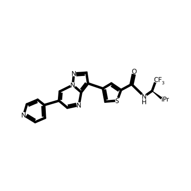 CC(C)[C@@H](NC(=O)c1cc(-c2cnn3cc(-c4ccncc4)cnc23)cs1)C(F)(F)F